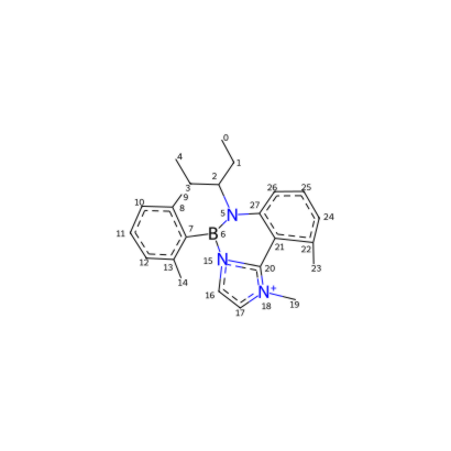 CCC(CC)N1B(c2c(C)cccc2C)n2cc[n+](C)c2-c2c(C)cccc21